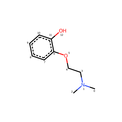 CN(C)CCOc1ccccc1O